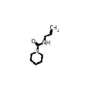 C=CCNC(=O)N1CCCCC1